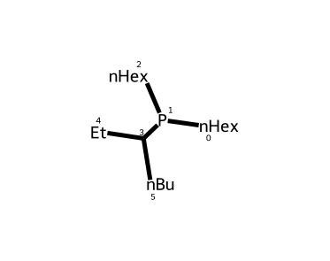 CCCCCCP(CCCCCC)C(CC)CCCC